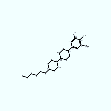 CCCCCCC1CCC(C2CCC(c3cc(F)c(F)c(F)c3)CC2)CC1